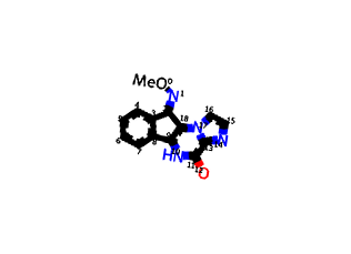 CON=C1c2ccccc2-c2[nH]c(=O)c3nccn3c21